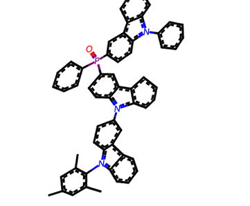 Cc1cc(C)c(-n2c3ccccc3c3cc(-n4c5ccccc5c5cc(P(=O)(c6ccccc6)c6ccc7c(c6)c6ccccc6n7-c6ccccc6)ccc54)ccc32)c(C)c1